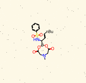 CCCCC=CC(NS(=O)(=O)c1ccccc1)B1OC(=O)CN(C)CC(=O)O1